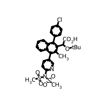 Cc1c(C(OC(C)(C)C)C(=O)O)c(-c2ccc(Cl)cc2)c2ccccc2c1-c1ccc(N(S(C)(=O)=O)S(C)(=O)=O)nc1